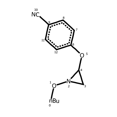 CCCCON1CC1Oc1ccc(C#N)cc1